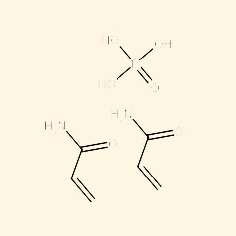 C=CC(N)=O.C=CC(N)=O.O=P(O)(O)O